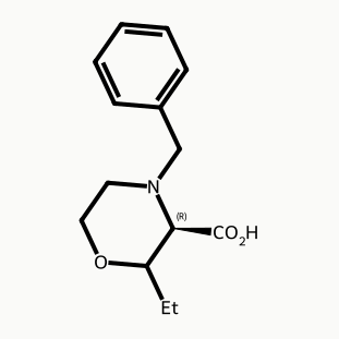 CCC1OCCN(Cc2ccccc2)[C@H]1C(=O)O